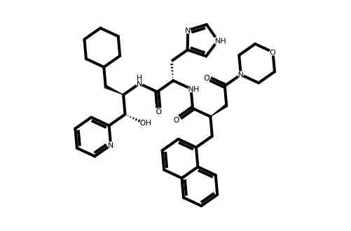 O=C(N[C@@H](Cc1c[nH]cn1)C(=O)N[C@H](CC1CCCCC1)[C@H](O)c1ccccn1)[C@@H](CC(=O)N1CCOCC1)Cc1cccc2ccccc12